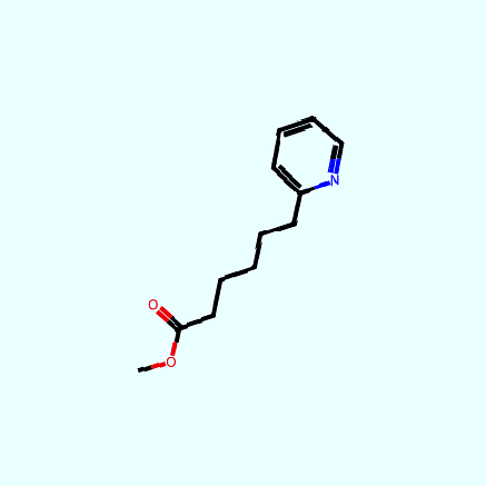 COC(=O)CCCCCc1ccccn1